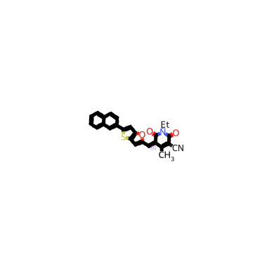 CCN1C(=O)C(C#N)=C(C)/C(=C/c2cc3sc(-c4ccc5ccccc5c4)cc3o2)C1=O